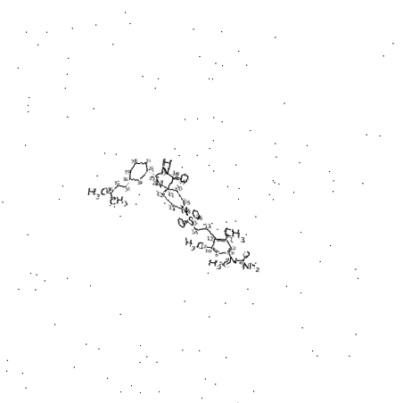 Cc1cc(N(C)C(N)=O)cc(C)c1CCS(=O)(=O)N1CCC2(CC1)N=C([C@H]1CCC[C@@H](CCC(C)C)C1)NC2=O